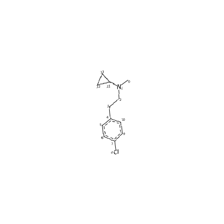 CN(CCc1ccc(Cl)cc1)C1CC1